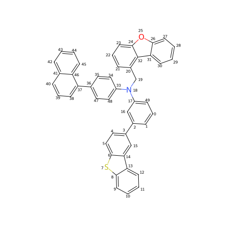 c1cc(-c2ccc3sc4ccccc4c3c2)cc(N(Cc2cccc3oc4ccccc4c23)c2ccc(-c3cccc4ccccc34)cc2)c1